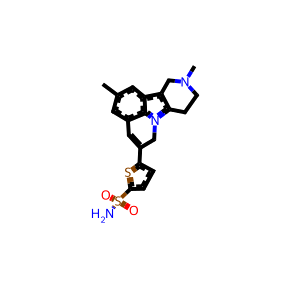 Cc1cc2c3c(c1)c1c(n3CC(c3ccc(S(N)(=O)=O)s3)=C2)CCN(C)C1